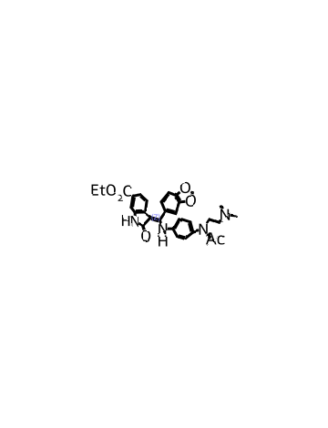 CCOC(=O)c1ccc2c(c1)NC(=O)/C2=C(\Nc1ccc(N(CCN(C)C)C(C)=O)cc1)c1ccc2c(c1)OCO2